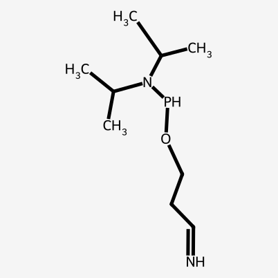 CC(C)N(POCCC=N)C(C)C